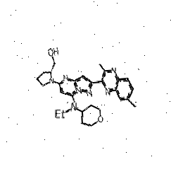 CCN(c1cc(N2CCC[C@H]2CO)nc2cc(-c3nc4cc(C)ccc4nc3C)nn12)C1CCOCC1